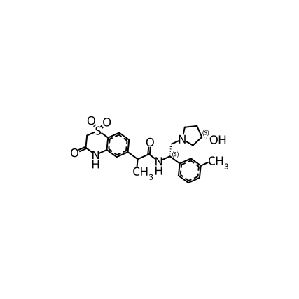 Cc1cccc([C@@H](CN2CC[C@H](O)C2)NC(=O)C(C)c2ccc3c(c2)NC(=O)CS3(=O)=O)c1